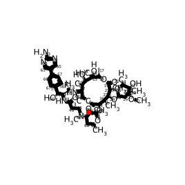 CO[C@]1(C)C[C@@H](C)C(=N)[C@H](C)[C@@H](O)[C@](C)(O)[C@@H](I)OC(=O)[C@H](C)[C@@H](O[C@H]2C[C@@](C)(OC)[C@@H](O)[C@H](C)O2)[C@H](C)[C@H]1O[C@H]1C[C@@H](N(C)CCC(=O)N[C@H](CF)[C@H](O)c2ccc(-c3cnc(N)nc3)cc2)C[C@@H](C)O1